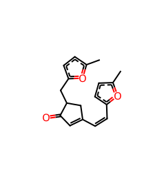 Cc1ccc(/C=C\C2=CC(=O)C(Cc3ccc(C)o3)C2)o1